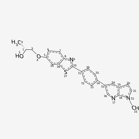 C[C@@H](O)COc1ccc2nc(-c3ccc(-c4cnc5c(ccn5C)c4)cc3)sc2c1